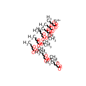 CCCC(=O)CC(=O)OOC(C)C.CCCC(=O)CC(=O)OOC(C)C.CCCC(=O)CC(=O)OOC(C)C.CCCC(=O)CC(=O)OOC(C)C.CCCC(=O)CC(=O)[O-].CCCC(=O)CC(=O)[O-].CCCC(=O)CC(=O)[O-].CCCC(=O)CC(=O)[O-].[Ti+4]